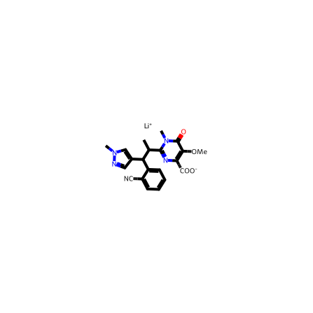 COc1c(C(=O)[O-])nc(C(C)C(c2cnn(C)c2)c2ccccc2C#N)n(C)c1=O.[Li+]